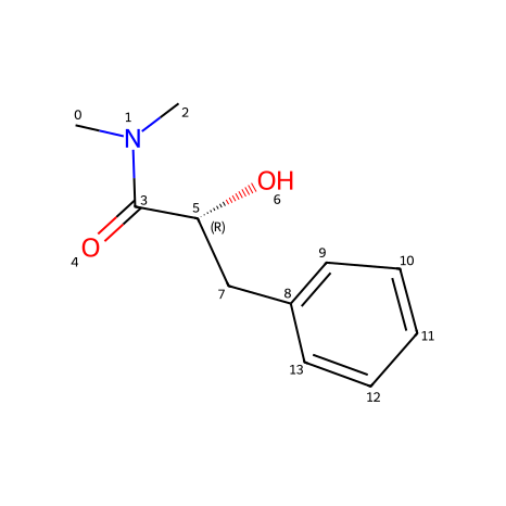 CN(C)C(=O)[C@H](O)Cc1ccccc1